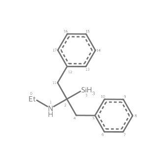 CCNC([SiH3])(Cc1ccccc1)Cc1ccccc1